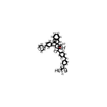 CC(CC(C)(O)C(=O)c1ccc(Cc2ccc(C(=O)C(C)(C)O)cc2)cc1)C(Cc1ccccc1)(C(=O)c1ccc(N2CCOCC2)cc1)N(C)C